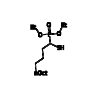 CCCCCCCCCCCC(S)P(=O)(OCC)OCC